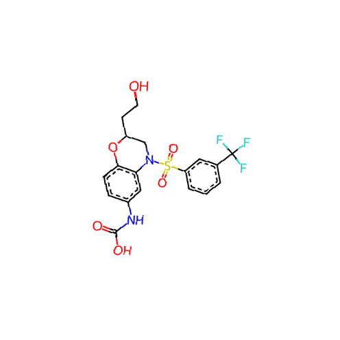 O=C(O)Nc1ccc2c(c1)N(S(=O)(=O)c1cccc(C(F)(F)F)c1)CC(CCO)O2